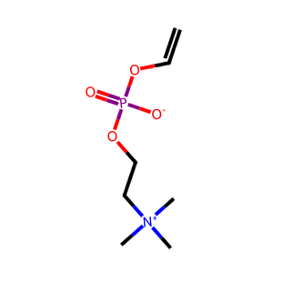 C=COP(=O)([O-])OCC[N+](C)(C)C